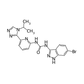 CC(C)n1cnnc1-c1cccc(NC(=O)Nc2n[nH]c3cc(Br)ccc23)n1